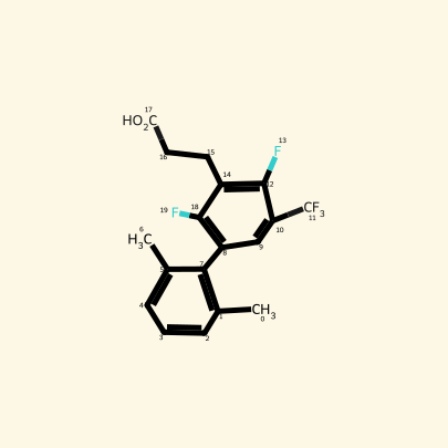 Cc1cccc(C)c1-c1cc(C(F)(F)F)c(F)c(CCC(=O)O)c1F